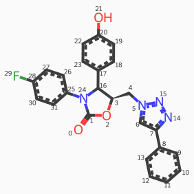 O=C1O[C@H](Cn2cc(-c3ccccc3)nn2)C(c2ccc(O)cc2)N1c1ccc(F)cc1